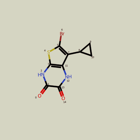 O=c1[nH]c2sc(Br)c(C3CC3)c2[nH]c1=O